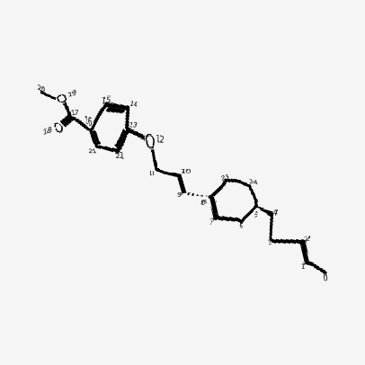 CCCCC[C@H]1CC[C@H](CCCOc2ccc(C(=O)OC)cc2)CC1